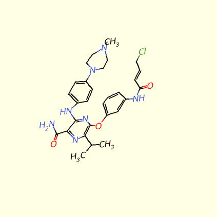 CC(C)c1nc(C(N)=O)c(Nc2ccc(N3CCN(C)CC3)cc2)nc1Oc1cccc(NC(=O)/C=C/CCl)c1